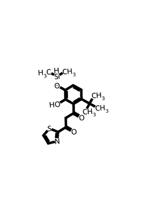 C[SiH](C)Oc1ccc(C(C)(C)C)c(C(=O)CC(=O)c2nccs2)c1O